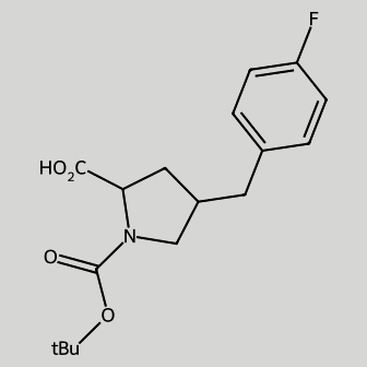 CC(C)(C)OC(=O)N1CC(Cc2ccc(F)cc2)CC1C(=O)O